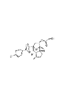 CC(C)C12C[C@@H](OC(=O)CO)[C@@](C)(O1)[C@@H]1CC[C@@H](C)[C@H]1[C@@H]2OC(=O)c1ccc(Cl)cc1